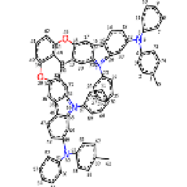 Cc1ccc(N(c2ccccc2)c2ccc3c4cc5c(cc4n(-c4ccccc4)c3c2)B2c3cc4c(cc3Oc3cccc(c32)O5)c2ccc(N(c3ccccc3)c3ccc(C)cc3)cc2n4-c2ccccc2)cc1